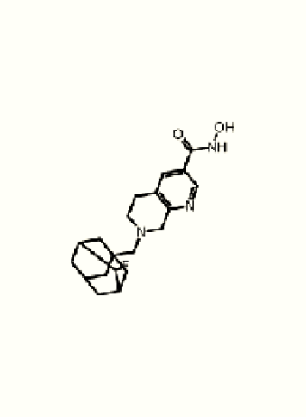 O=C(NO)c1cnc2c(c1)CCN(CC13CC4CC(C1)C(F)C(C4)C3)C2